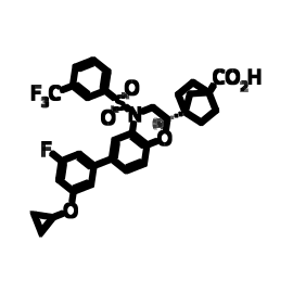 O=C(O)C12CCC([C@H]3CN(S(=O)(=O)c4cccc(C(F)(F)F)c4)c4cc(-c5cc(F)cc(OC6CC6)c5)ccc4O3)(CC1)C2